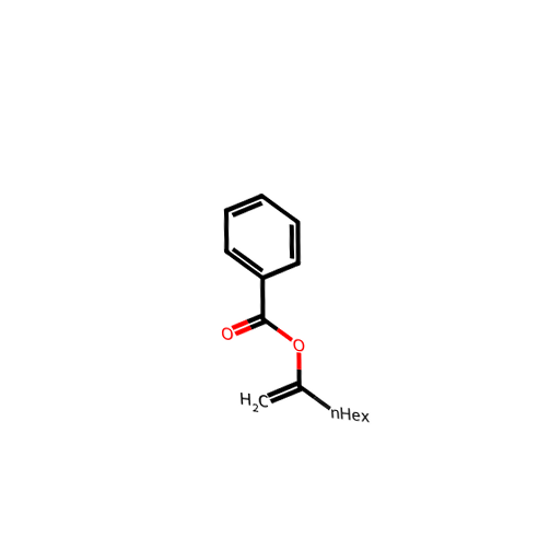 C=C(CCCCCC)OC(=O)c1ccccc1